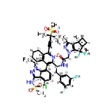 CC(C)(C#Cc1nc([C@H](Cc2cc(F)cc(F)c2)NC(=O)Cn2nc(C(F)(F)F)c3c2C(F)(F)[C@@H]2CC[C@H]32)c(-c2ccc(Cl)c3c(NS(C)(=O)=O)nn(CC(F)(F)F)c23)c2c1CCCC2)S(C)(=O)=O